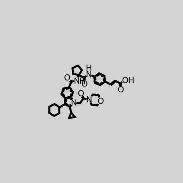 O=C(O)C=Cc1ccc(NC(=O)C2(NC(=O)c3ccc4c(C5CCCCC5)c(C5CC5)n(CC(=O)N5CCOCC5)c4c3)CCCC2)cc1